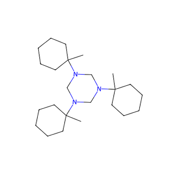 CC1(N2CN(C3(C)CCCCC3)CN(C3(C)CCCCC3)C2)CCCCC1